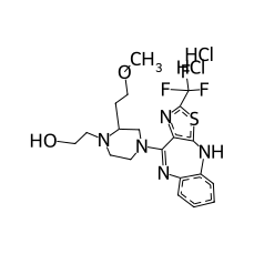 COCCC1CN(C2=Nc3ccccc3Nc3sc(C(F)(F)F)nc32)CCN1CCO.Cl.Cl